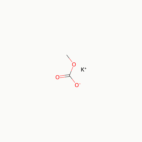 COC(=O)[O-].[K+]